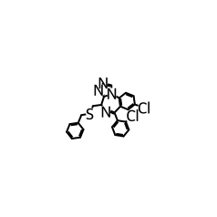 Clc1ccc2c(c1)C(c1ccccc1Cl)=NC(CSCc1ccccc1)c1nncn1-2